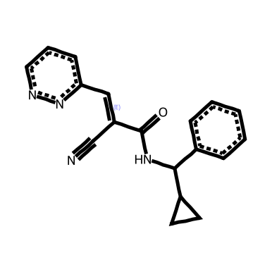 N#C/C(=C\c1cccnn1)C(=O)NC(c1ccccc1)C1CC1